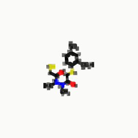 CN(C(=O)CS)N(C)C(=O)CSc1ccc([N+](=O)[O-])cc1C(=O)O